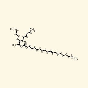 CCCCCCCC/C=C/CCCCCCCCOC(=O)OC(C)C(CCCCC)CCCCCC